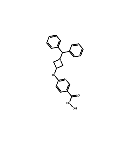 O=C(NO)c1ccc(NC2CN(C(c3ccccc3)c3ccccc3)C2)nc1